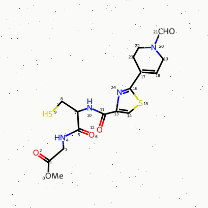 COC(=O)CNC(=O)C(CS)NC(=O)c1csc(C2=CCN(C=O)CC2)n1